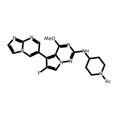 COc1nc(NC2CCN(C(C)=O)CC2)nn2cc(F)c(-c3cnc4nccn4c3)c12